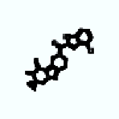 CN1C(=O)c2c3c(nn2CC12CC2)CCN(C(=O)c1cc2c(Cl)cccc2[nH]1)C3